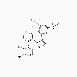 FC(F)(F)c1cc(-c2cncn2-c2cnccc2-c2cccc(Cl)c2Cl)cc(C(F)(F)F)c1